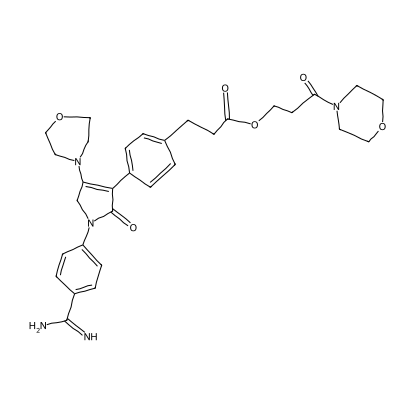 N=C(N)c1ccc(N2CC(N3CCOCC3)=C(c3ccc(CCC(=O)OCCC(=O)N4CCOCC4)cc3)C2=O)cc1